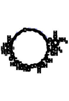 C[C@@H]1[C@H](O)[C@@H](C)/C=C/C=C/CC/C=C/C=C/C=C/C=C/[C@H](O[C@H]2O[C@@H](C)C[C@@H](N)[C@H]2O)CC[C@H](C(=O)O)CC[C@@H](O)C[C@@H](O)[C@H](O)CC[C@@H](O)C[C@@H](O)C[C@@H](O)CC(=O)O[C@H]1C